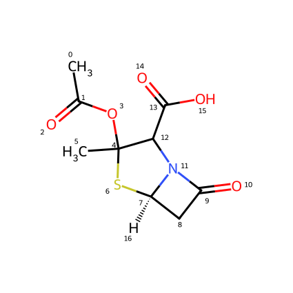 CC(=O)OC1(C)S[C@@H]2CC(=O)N2C1C(=O)O